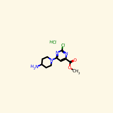 COC(=O)c1cc(N2CCC(N)CC2)nc(Cl)n1.Cl